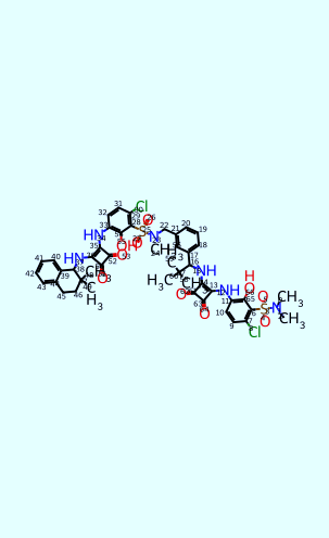 CN(C)S(=O)(=O)c1c(Cl)ccc(Nc2c(NC(c3cccc(CN(C)S(=O)(=O)c4c(Cl)ccc(Nc5c(NC6c7ccccc7CCC6(C)C)c(=O)c5=O)c4O)c3)C(C)(C)C)c(=O)c2=O)c1O